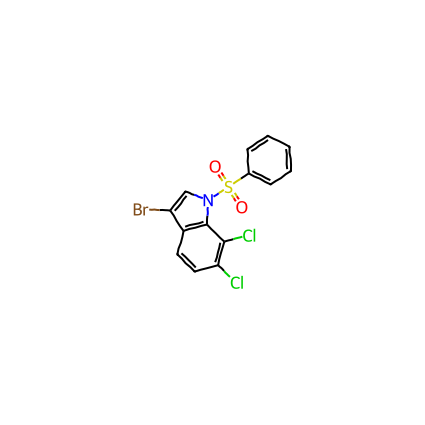 O=S(=O)(c1ccccc1)n1cc(Br)c2ccc(Cl)c(Cl)c21